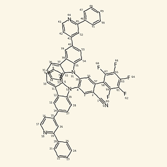 N#Cc1cc(-n2c3ccccc3c3cc(-c4ccnc(-c5ccccc5)c4)ccc32)c(-n2c3ccccc3c3cc(-c4ccnc(-c5ccccc5)c4)ccc32)cc1-c1c(F)c(F)c(F)c(F)c1F